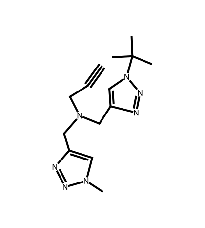 C#CCN(Cc1cn(C)nn1)Cc1cn(C(C)(C)C)nn1